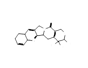 CCC1(O)C2=C(COC1O)C(=O)N1CC3=CC4CCC=CC4N=C3C1C2